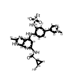 CCS(=O)(=O)Nc1cc(-c2cnn(C)c2)ccc1Nc1cc(NC(=O)[C@H]2C[C@H]2F)nc2[nH]c(C)nc12